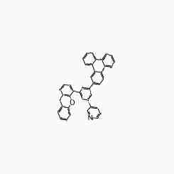 c1cncc(-c2cc(-c3ccc4c5ccccc5c5ccccc5c4c3)cc(-c3cccc4c3Oc3ccccc3C4)c2)c1